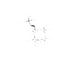 CC(C)(O)C=C[Si]1(C)O[Si](C)(C)O[Si](C)(C)O[Si](C)(C)O1